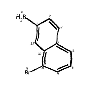 Bc1ccc2cccc(Br)c2c1